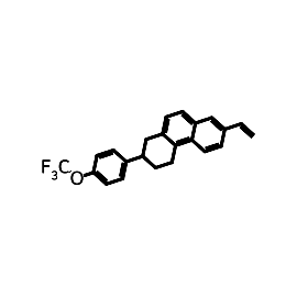 C=Cc1ccc2c3c(ccc2c1)CC(c1ccc(OC(F)(F)F)cc1)CC3